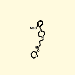 COc1ccccc1N1CCN(CCCNOC2CCCCO2)CC1